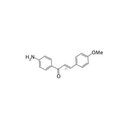 COc1ccc(/C=C/C(=O)c2ccc(N)cc2)cc1